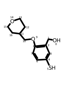 OCc1cc(S)ccc1OCC1CCOCC1